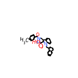 Cc1ccc(C(=O)NCC2c3ccccc3N(Cc3cccc4ccccc34)C2C(=O)O)cc1